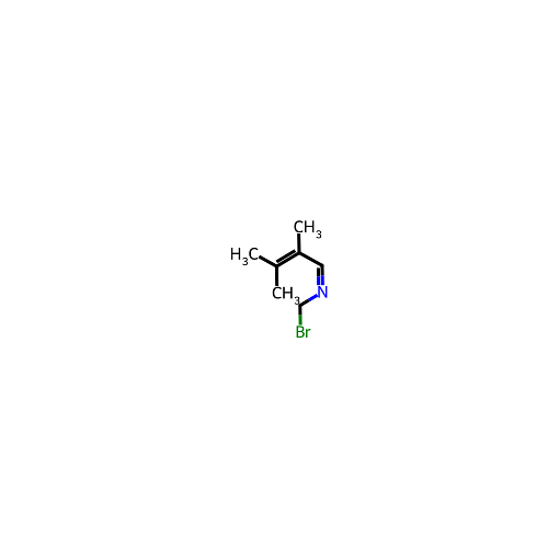 CC(C)=C(C)/C=N\CBr